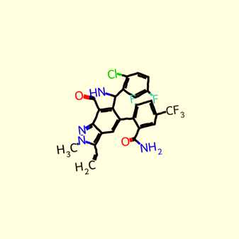 C=Cc1c2cc(-c3c(F)cc(C(F)(F)F)cc3C(N)=O)c3c(c2nn1C)C(=O)NC3c1cc(F)ccc1Cl